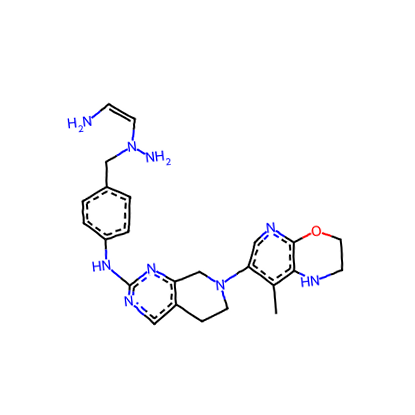 Cc1c(N2CCc3cnc(Nc4ccc(CN(N)/C=C\N)cc4)nc3C2)cnc2c1NCCO2